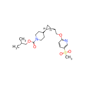 CC(C)COC(=O)N1CCC([C@H]2C[C@H]2CCOc2ccc(S(C)(=O)=O)cn2)CC1